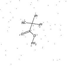 CC(C)C(C#N)(C(=O)OP)C(C)C